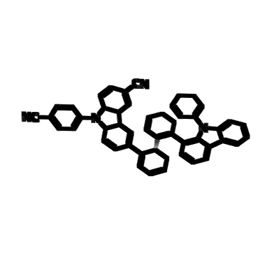 N#CC1=CC2C3C=C(C4=CC=CC[C@H]4C4=C(c5cccc6c7ccccc7n(C7=CCCC=C7)c56)CCC=C4)C=CC3N(c3ccc(C#N)cc3)C2C=C1